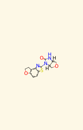 O=C1N[C@H]2COC[C@H]2N1c1nc2c3c(ccc2s1)OCC3